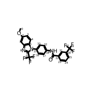 COc1ccc2c(c1)nc(C(F)(F)F)n2-c1ccc(NC(=O)c2cccc(C(F)(F)F)c2)cc1